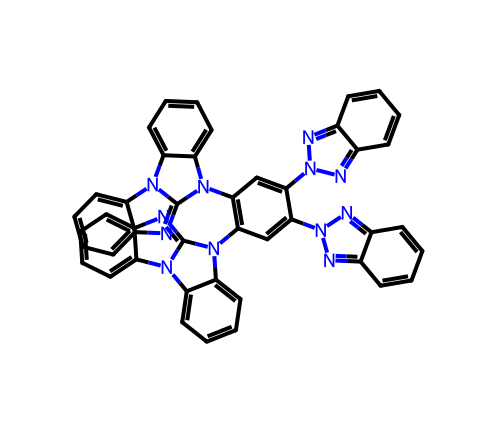 c1ccc2nn(-c3cc(-n4c5ccccc5n5c6ccccc6nc45)c(-n4c5ccccc5n5c6ccccc6nc45)cc3-n3nc4ccccc4n3)nc2c1